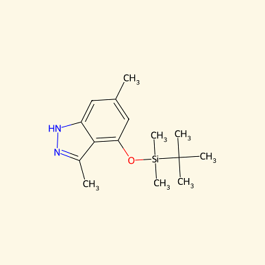 Cc1cc(O[Si](C)(C)C(C)(C)C)c2c(C)n[nH]c2c1